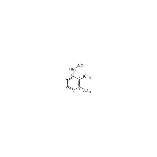 Cc1cccc(NN=O)c1C